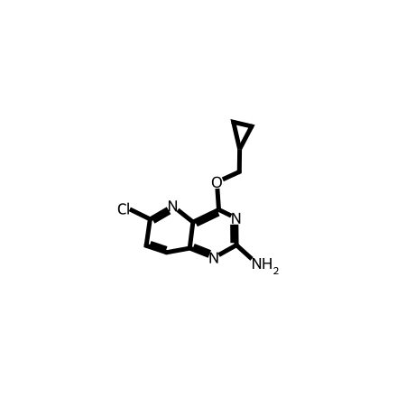 Nc1nc(OCC2CC2)c2nc(Cl)ccc2n1